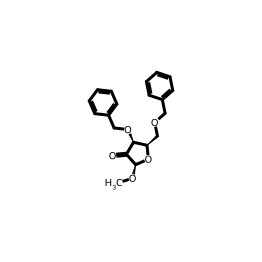 CO[C@@H]1O[C@H](COCc2ccccc2)[C@H](OCc2ccccc2)C1=O